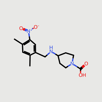 Cc1cc(C)c([N+](=O)[O-])cc1CNC1CCN(C(=O)O)CC1